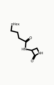 CCCCCCCCCC(=O)NC1CNC1=O